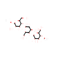 CO[C@@H]1OC(CO)[C@@H](O[C@H]2OC(CO)[C@H](O[C@@H]3OC(CO)[C@@H](OC)C(O)C3O)C(O)[C@H]2O)C(O)C1O